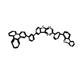 c1cc(-c2ccc3c4ccccc4c4ccccc4c3c2)cc(-c2ccc3sc4ncc(-c5cccc(-c6cccc7c6sc6ccccc67)c5)nc4c3c2)c1